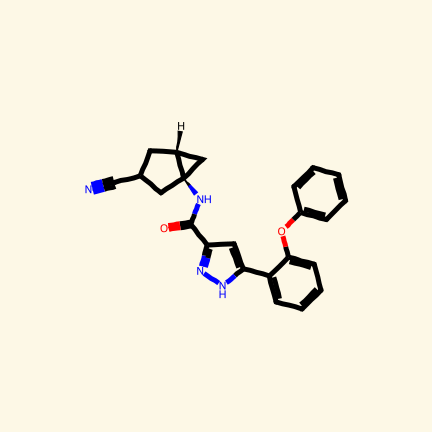 N#CC1C[C@@H]2C[C@]2(NC(=O)c2cc(-c3ccccc3Oc3ccccc3)[nH]n2)C1